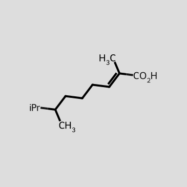 CC(=CCCCC(C)C(C)C)C(=O)O